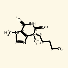 Cn1cnc2c1C(=O)NC(=O)[N+]2(C)CCCC[O-]